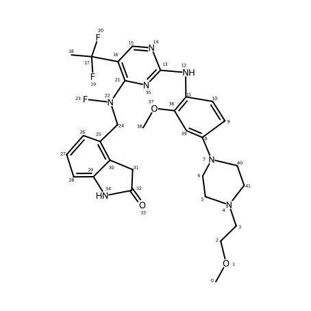 COCCN1CCN(c2ccc(Nc3ncc(C(C)(F)F)c(N(F)Cc4cccc5c4CC(=O)N5)n3)c(OC)c2)CC1